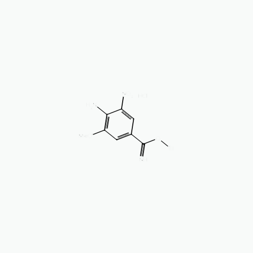 CCOC(=N)c1cc(OC)c(N)c([N+](=O)[O-])c1.Cl